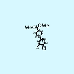 COC(OC)C1CCN(c2cc(C)c(Cl)cn2)CC1